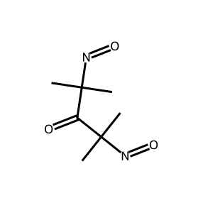 CC(C)(N=O)C(=O)C(C)(C)N=O